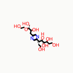 OCCO[C@H](CO)[C@@H](O)Cc1cnc([C@@H](CCO)[C@H](O)[C@H](O)C(O)CCO)cn1